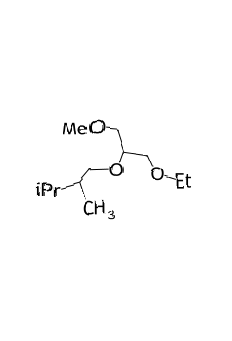 CCOCC(COC)OCC(C)C(C)C